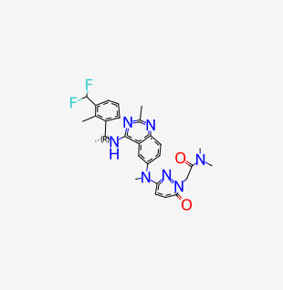 Cc1nc(N[C@H](C)c2cccc(C(F)F)c2C)c2cc(N(C)c3ccc(=O)n(CC(=O)N(C)C)n3)ccc2n1